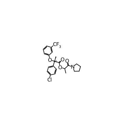 CC(OC(=O)[C@@](C)(Oc1cccc(C(F)(F)F)c1)c1ccc(Cl)cc1)C(=O)N1CCCC1